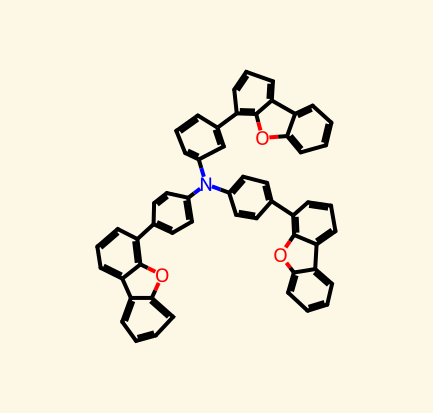 c1cc(-c2cccc3c2oc2ccccc23)cc(N(c2ccc(-c3cccc4c3oc3ccccc34)cc2)c2ccc(-c3cccc4c3oc3ccccc34)cc2)c1